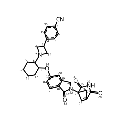 N#Cc1ccc(C2CN(C3CCCCC3Oc3ccc4c(c3)CN(C35CC(C3)C(=O)NC5=O)C4=O)C2)cc1